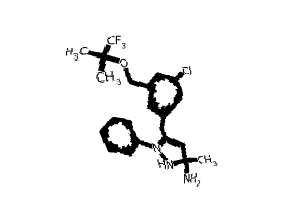 CC1(N)C=C(c2cc(Cl)cc(COC(C)(C)C(F)(F)F)c2)N(c2ccccc2)N1